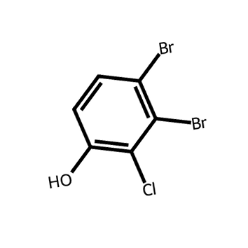 Oc1ccc(Br)c(Br)c1Cl